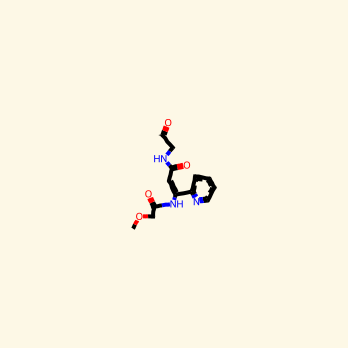 COCC(=O)NC(=CC(=O)NC[C]=O)c1ccccn1